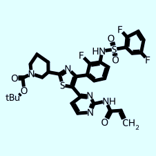 C=CC(=O)Nc1nccc(-c2sc(C3CCCN(C(=O)OC(C)(C)C)C3)nc2-c2cccc(NS(=O)(=O)c3cc(F)ccc3F)c2F)n1